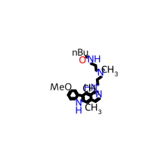 CCCCC(=O)NCCCN(C)CCCNc1nccc2c(C)c3[nH]c4ccc(OC)cc4c3c(C)c12